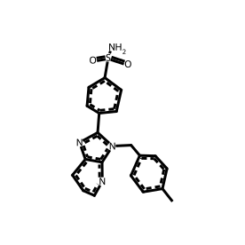 Cc1ccc(Cn2c(-c3ccc(S(N)(=O)=O)cc3)nc3cccnc32)cc1